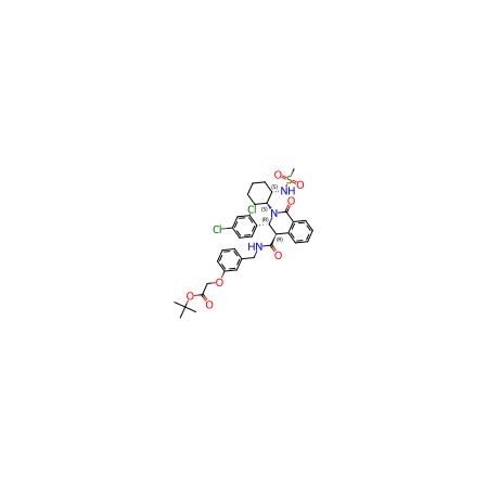 CC(C)(C)OC(=O)COc1cccc(CNC(=O)[C@@H]2c3ccccc3C(=O)N([C@H]3CCCC[C@@H]3NS(C)(=O)=O)[C@H]2c2ccc(Cl)cc2Cl)c1